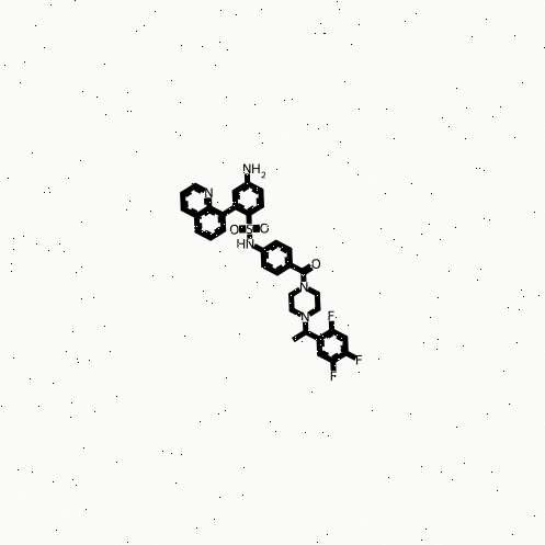 CC(c1cc(F)c(F)cc1F)N1CCN(C(=O)c2ccc(NS(=O)(=O)c3ccc(N)cc3-c3cccc4cccnc34)cc2)CC1